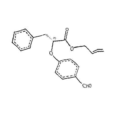 C=CCOC(=O)[C@@H](Cc1ccccc1)Oc1ccc(C=O)cc1